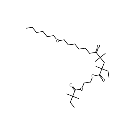 CCCCCCOCCCCCCC(=O)C(C)(C)CC(C)(CC)C(=O)OCCOC(=O)C(C)(C)CC